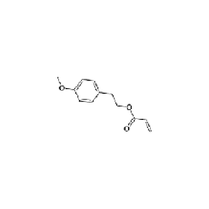 C=CC(=O)OCCc1ccc(OC)cc1